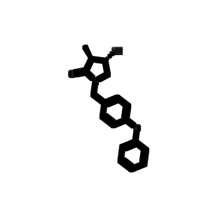 C[C@@H]1C(=O)N(Cc2ccc(Oc3ccccc3)cc2)C[C@H]1S